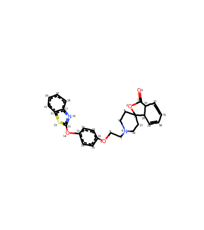 O=C1OC2(CCN(CCOc3ccc(Oc4nc5ccccc5s4)cc3)CC2)C2C=CC=CC12